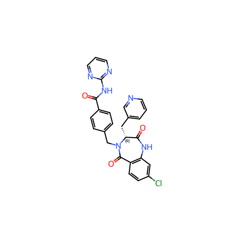 O=C(Nc1ncccn1)c1ccc(CN2C(=O)c3ccc(Cl)cc3NC(=O)[C@H]2Cc2cccnc2)cc1